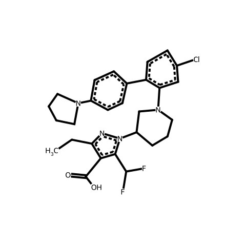 CCc1nn(C2CCCN(c3cc(Cl)ccc3-c3ccc(N4CCCC4)cc3)C2)c(C(F)F)c1C(=O)O